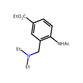 CCOC(=O)c1ccc(NC(C)=O)c(CN(CC)CC)c1